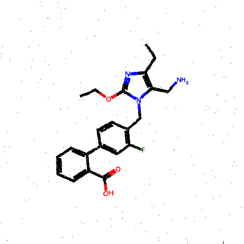 CCOc1nc(CC)c(CN)n1Cc1ccc(-c2ccccc2C(=O)O)cc1F